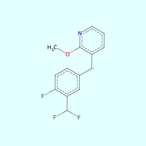 COc1ncccc1[CH]c1ccc(F)c(C(F)F)c1